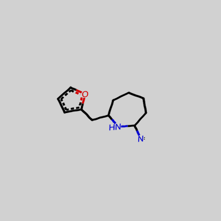 [N]C1CCCCC(Cc2ccco2)N1